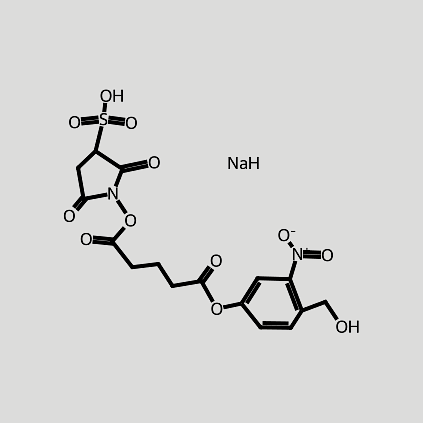 O=C(CCCC(=O)ON1C(=O)CC(S(=O)(=O)O)C1=O)Oc1ccc(CO)c([N+](=O)[O-])c1.[NaH]